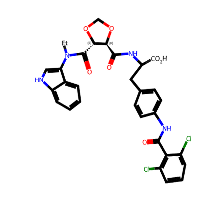 CCN(C(=O)[C@@H]1OCO[C@H]1C(=O)NC(Cc1ccc(NC(=O)c2c(Cl)cccc2Cl)cc1)C(=O)O)c1c[nH]c2ccccc12